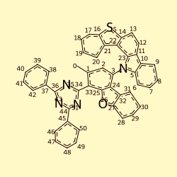 Cc1cc(-n2c3ccccc3c3ccc4sc5ccccc5c4c32)c2c(oc3ccccc32)c1-c1nc(-c2ccccc2)nc(-c2ccccc2)n1